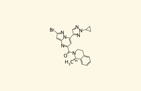 C[C@@H]1c2ccccc2CCN1C(=O)c1cc(-c2cnn(C3CC3)n2)n2nc(Br)cc2n1